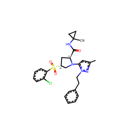 Cc1cc(N2C[C@H](S(=O)(=O)c3ccccc3Cl)C[C@H]2C(=O)NC2(C#N)CC2)n(CCc2ccccc2)n1